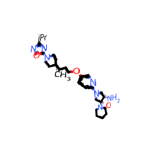 CC(C)c1noc(N2CCC([C@H](C)CCOc3ccc(N4C[C@H](N)[C@@H](N5CCCCC5=O)C4)nc3)CC2)n1